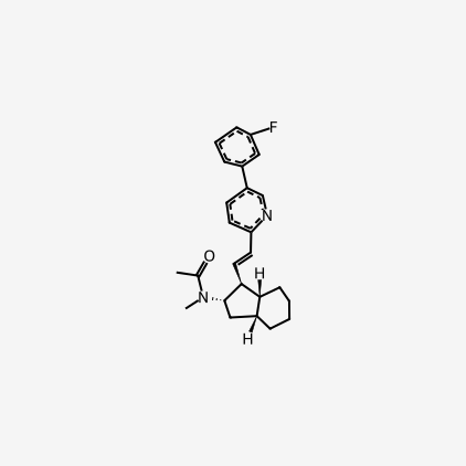 CC(=O)N(C)[C@H]1C[C@H]2CCCC[C@H]2[C@@H]1/C=C/c1ccc(-c2cccc(F)c2)cn1